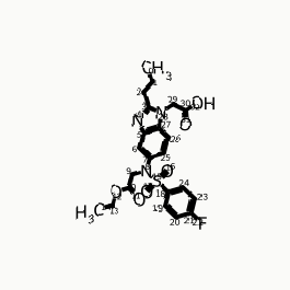 CCCc1nc2cc(N(CC(=O)OCC)S(=O)(=O)c3ccc(F)cc3)ccc2n1CC(=O)O